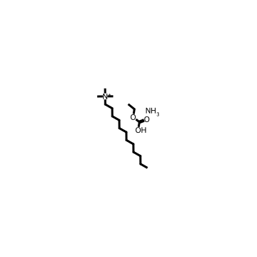 CCCCCCCCCCCC[N+](C)(C)C.CCOC(=O)O.N